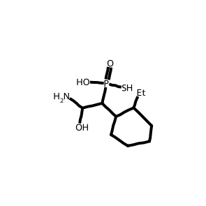 CCC1CCCCC1C(C(N)O)P(=O)(O)S